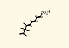 C=C(C)C(C)(C)/C(C)=C/C=C/C=C/C(=O)O